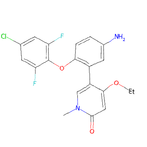 CCOc1cc(=O)n(C)cc1-c1cc(N)ccc1Oc1c(F)cc(Cl)cc1F